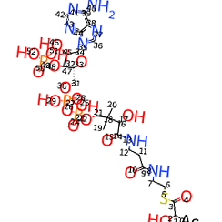 CC(=O)[C@@H](O)C(=O)SCCNC(=O)CCNC(=O)C(O)C(C)(C)COP(=O)(O)OP(=O)(O)OC[C@H]1O[C@@H](n2cnc3c(N)ncnc32)[C@H](O)[C@@H]1OP(=O)(O)O